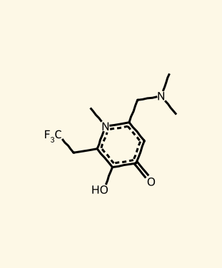 CN(C)Cc1cc(=O)c(O)c(CC(F)(F)F)n1C